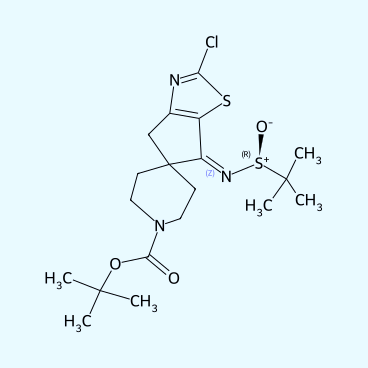 CC(C)(C)OC(=O)N1CCC2(CC1)Cc1nc(Cl)sc1/C2=N\[S@@+]([O-])C(C)(C)C